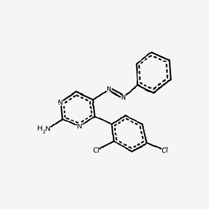 Nc1ncc(N=Nc2ccccc2)c(-c2ccc(Cl)cc2Cl)n1